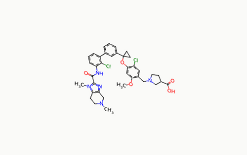 COc1cc(OC2(c3cccc(-c4cccc(NC(=O)c5nc6c(n5C)CCN(C)C6)c4Cl)c3)CC2)c(Cl)cc1CN1CCC(C(=O)O)C1